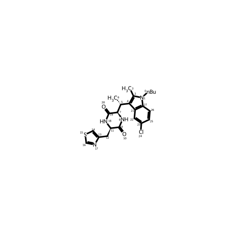 CCCCn1c(C)c([C@@H](C)[C@H]2NC(=O)[C@@H](Cc3cscn3)NC2=O)c2cc(Cl)ccc21